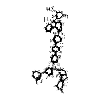 CCC1CC(C2(C)c3ccccc3-c3c(-c4ccc(-c5ccc(-c6ccc(N(c7ccc(-c8ccccc8)cc7)c7ccc8sc9ccccc9c8c7)cc6)cc5)cc4)cccc32)=CC(C)C1